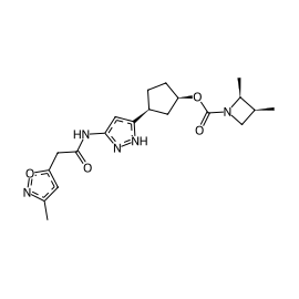 Cc1cc(CC(=O)Nc2cc([C@H]3CC[C@@H](OC(=O)N4C[C@H](C)[C@@H]4C)C3)[nH]n2)on1